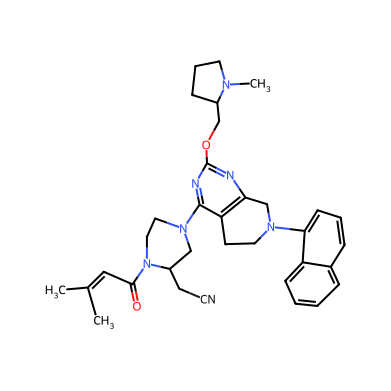 CC(C)=CC(=O)N1CCN(c2nc(OCC3CCCN3C)nc3c2CCN(c2cccc4ccccc24)C3)CC1CC#N